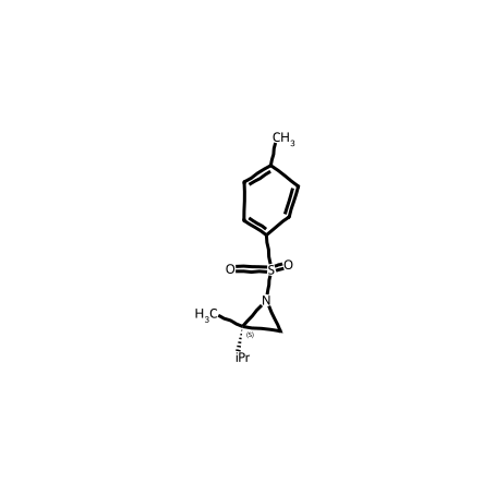 Cc1ccc(S(=O)(=O)N2C[C@]2(C)C(C)C)cc1